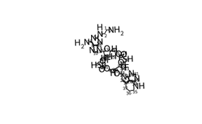 NCCNc1nc(N)c2ncn([C@@H]3O[C@@H]4COP(=O)(S)O[C@H]5[C@@H](F)[C@H](n6cc7c8c(ncnc86)NCCC7)O[C@@H]5COP(=O)(S)O[C@@H]3[C@@H]4F)c2n1